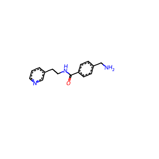 NCc1ccc(C(=O)NCCc2cccnc2)cc1